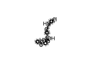 O=C(Oc1ccccc1NC(CCc1ccc(OCCCNc2ccc(Cl)cc2)cc1)C(=O)O)c1ccccc1